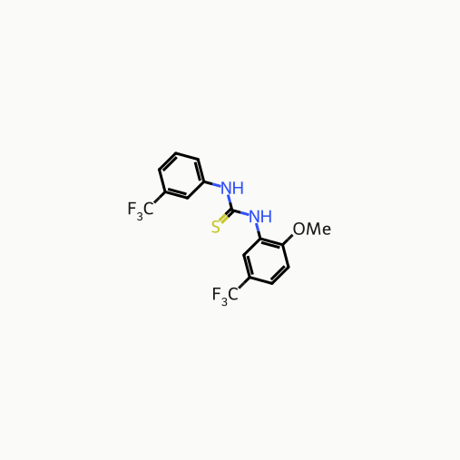 COc1ccc(C(F)(F)F)cc1NC(=S)Nc1cccc(C(F)(F)F)c1